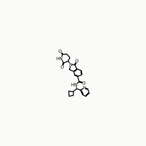 O=C1CCC(N2Cc3cc(C(=O)N[C@@H](c4ccccn4)C4CCC4)ccc3C2=O)C(=O)N1